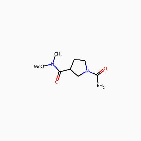 BC(=O)N1CCC(C(=O)N(C)OC)C1